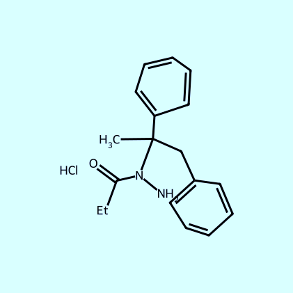 CCC(=O)N(N)C(C)(Cc1ccccc1)c1ccccc1.Cl